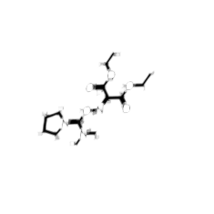 CCOC(=O)C(=NOC(N(C)C)=[N+]1CCCC1)C(=O)OCC